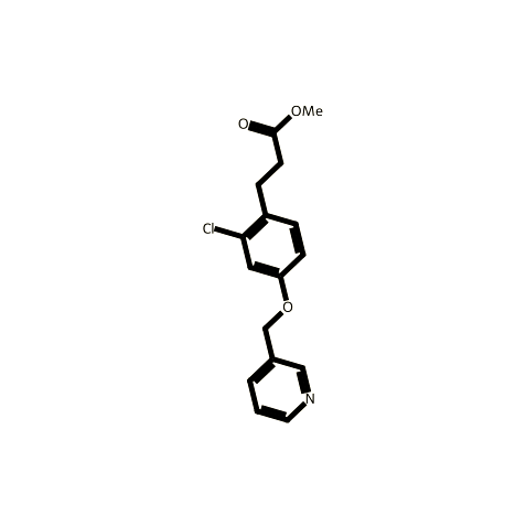 COC(=O)CCc1ccc(OCc2cccnc2)cc1Cl